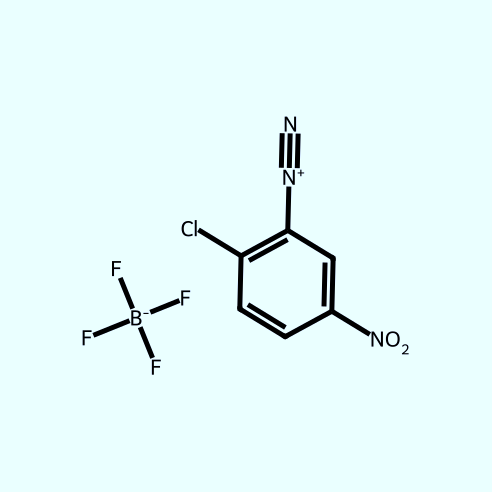 F[B-](F)(F)F.N#[N+]c1cc([N+](=O)[O-])ccc1Cl